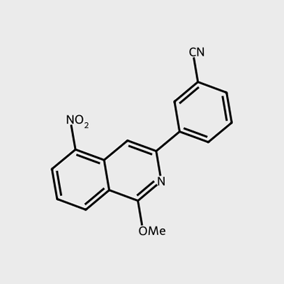 COc1nc(-c2cccc(C#N)c2)cc2c([N+](=O)[O-])cccc12